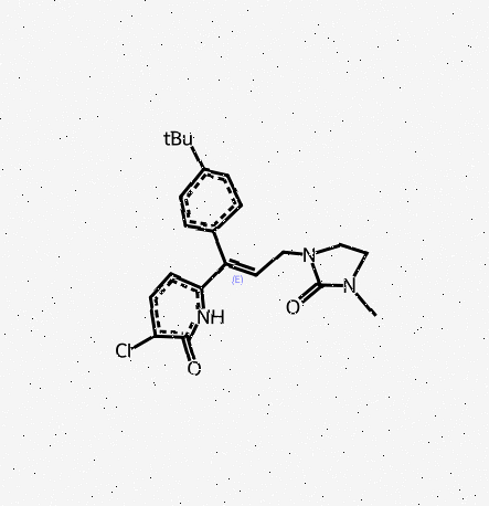 CN1CCN(C/C=C(\c2ccc(C(C)(C)C)cc2)c2ccc(Cl)c(=O)[nH]2)C1=O